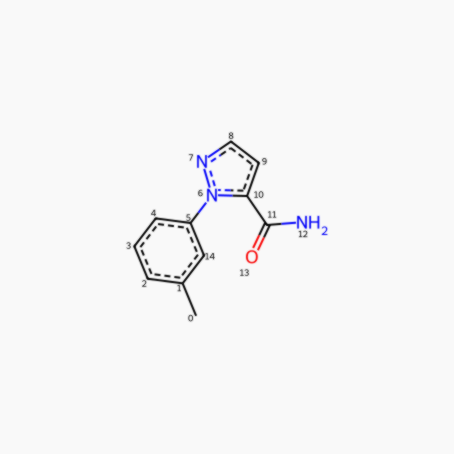 Cc1cccc(-n2nccc2C(N)=O)c1